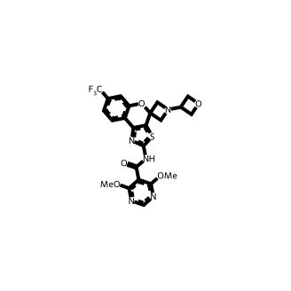 COc1ncnc(OC)c1C(=O)Nc1nc2c(s1)C1(CN(C3COC3)C1)Oc1cc(C(F)(F)F)ccc1-2